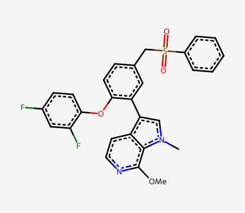 COc1nccc2c(-c3cc(CS(=O)(=O)c4ccccc4)ccc3Oc3ccc(F)cc3F)cn(C)c12